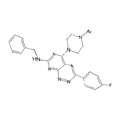 CC(=O)N1CCN(c2nc(NCc3ccccc3)nc3nnc(-c4ccc(F)cc4)nc23)CC1